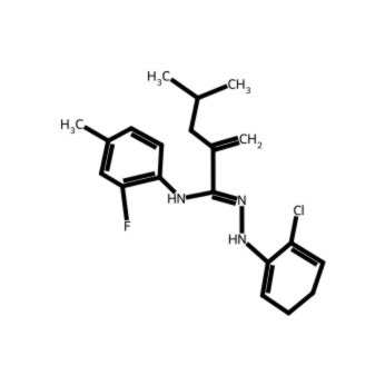 C=C(CC(C)C)/C(=N/NC1=CCCC=C1Cl)Nc1ccc(C)cc1F